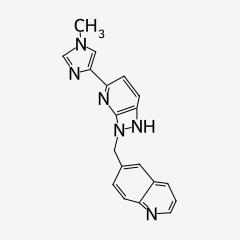 Cn1cnc(-c2ccc3[nH]n(Cc4ccc5ncccc5c4)c3n2)c1